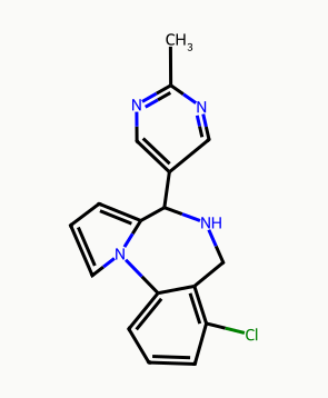 Cc1ncc(C2NCc3c(Cl)cccc3-n3cccc32)cn1